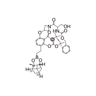 CC(C)(C)OC(=O)Oc1c(CCB2O[C@@H]3C[C@@H]4C[C@@H](C4(C)C)[C@]3(C)O2)ccc(OC2CN(C(=O)C(CO)NC(=O)OCc3ccccc3)C2)c1C(=O)OC(C)(C)C